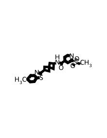 CCS(=O)(=O)c1cc(C(=O)NC2CC3(C2)CC(c2nc4cc(C)ccc4s2)C3)ccn1